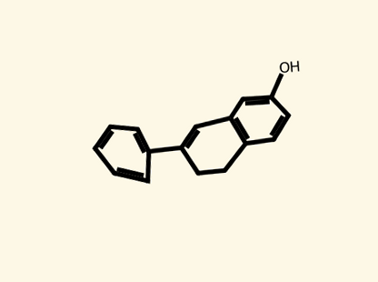 Oc1ccc2c(c1)C=C(c1ccccc1)CC2